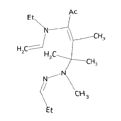 C=CN(CC)/C(C(C)=O)=C(/C)C(C)(C)N(C)/N=C\CC